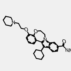 CNC(=O)c1ccc2c(C3CCCCC3)c3n(c2c1)CCOc1c(OCCN2CCCCC2)cccc1-3